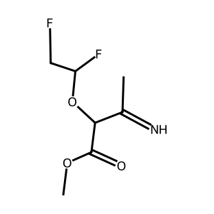 COC(=O)C(OC(F)CF)C(C)=N